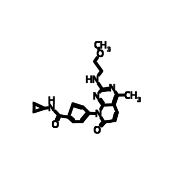 COCCNc1nc(C)c2ccc(=O)n(-c3ccc(C(=O)NC4CC4)cc3)c2n1